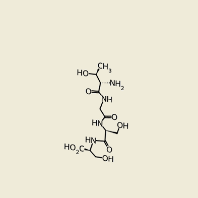 C[C@H](O)[C@H](N)C(=O)NCC(=O)N[C@@H](CO)C(=O)N[C@@H](CO)C(=O)O